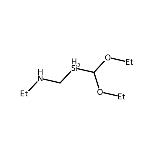 CCNC[SiH2]C(OCC)OCC